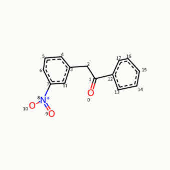 O=C(Cc1cccc([N+](=O)[O-])c1)c1ccccc1